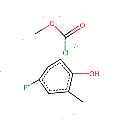 COC(=O)Cl.Cc1cc(F)ccc1O